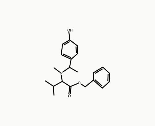 CC(C)C(C(=O)OCc1ccccc1)N(C)C(C)c1ccc(O)cc1